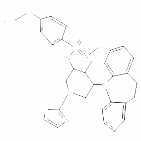 CN=S(=O)(NC1CN(c2nccs2)CC(N2c3ccccc3CCc3ccccc32)C1O)c1ccc(OC(F)(F)F)cc1